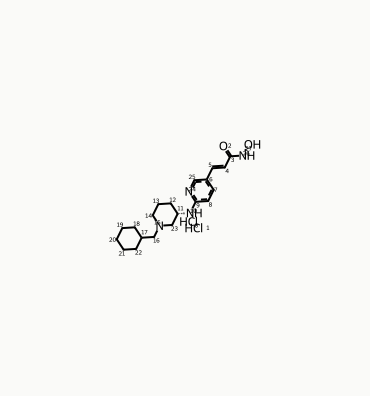 Cl.Cl.O=C(C=Cc1ccc(N[C@H]2CCCN(CC3CCCCC3)C2)nc1)NO